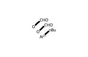 CCC[CH2][Al+2].O=C[O-].O=C[O-]